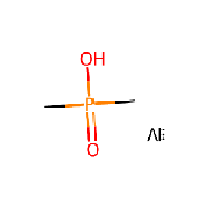 CP(C)(=O)O.[Al]